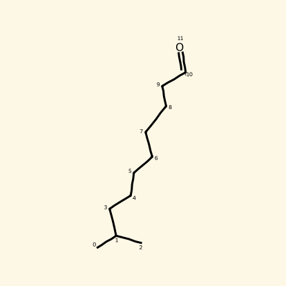 CC(C)CCCCCCC[C]=O